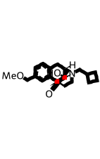 COCc1ccc2c(c1)[C@]13CCN(CC4CCC4)[C@H](C2)[C@]1(O)CCCC3=O